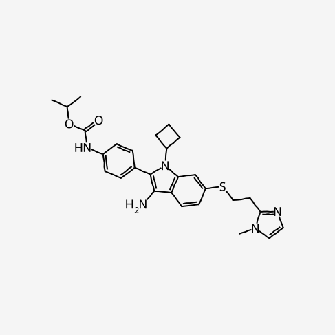 CC(C)OC(=O)Nc1ccc(-c2c(N)c3ccc(SCCc4nccn4C)cc3n2C2CCC2)cc1